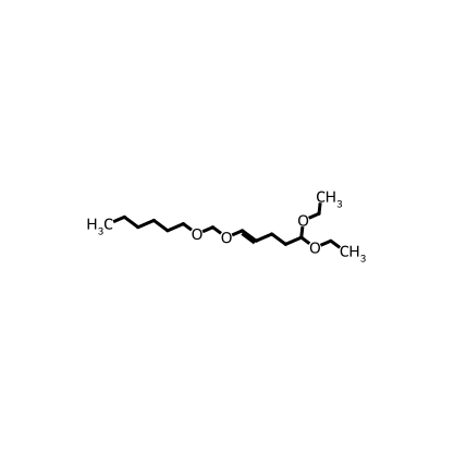 CCCCCCOCOC=CCCC(OCC)OCC